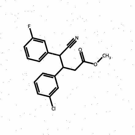 COC(=O)CC(c1cccc(Cl)c1)C(C#N)c1cccc(F)c1